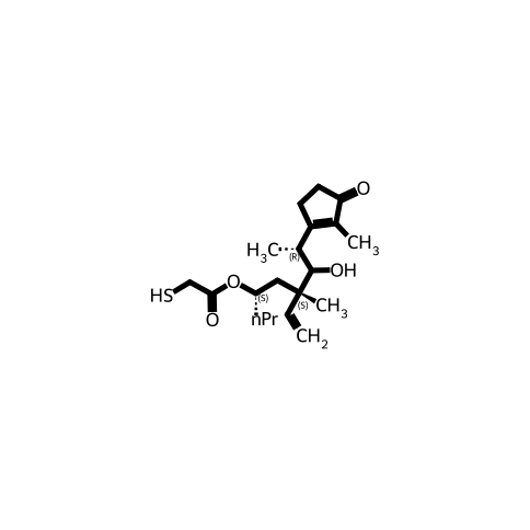 C=C[C@](C)(C[C@H](CCC)OC(=O)CS)C(O)[C@H](C)C1=C(C)C(=O)CC1